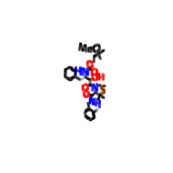 COC(C)(C)CCOC(=O)N[C@@H](Cc1ccccc1)[C@H](O)C(=O)N1CSC(C)(C)[C@H]1C(=O)NCc1ccccc1C